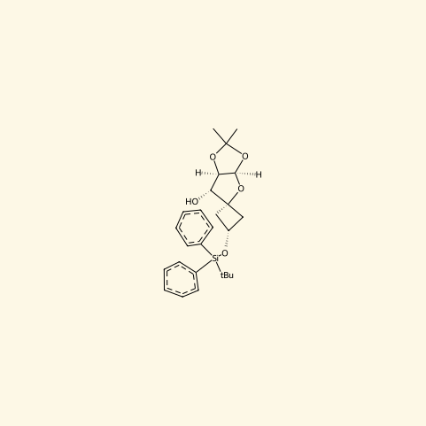 CC1(C)O[C@H]2O[C@]3(C[C@@H](O[Si](c4ccccc4)(c4ccccc4)C(C)(C)C)C3)[C@H](O)[C@H]2O1